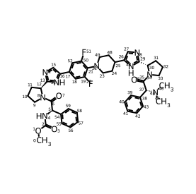 COC(=O)N[C@@H](C(=O)N1CCC[C@H]1c1ncc(-c2cc(F)c(N3CCC(c4cnc([C@@H]5CCCN5C(=O)[C@@H](c5ccccc5)N(C)C)[nH]4)CC3)c(F)c2)[nH]1)c1ccccc1